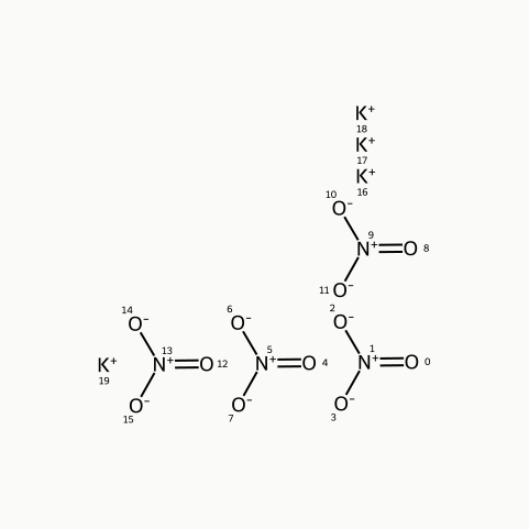 O=[N+]([O-])[O-].O=[N+]([O-])[O-].O=[N+]([O-])[O-].O=[N+]([O-])[O-].[K+].[K+].[K+].[K+]